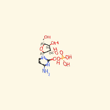 Nc1ccn([C@@H]2O[C@H](CO)[C@@H](O)[C@@H]2O)c(=O)n1.O=P(O)(O)O